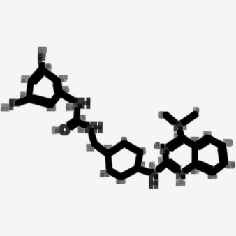 CN(C)c1nc(NC2CCC(CNC(=O)Nc3cc(F)cc(F)c3)CC2)nc2ccccc12